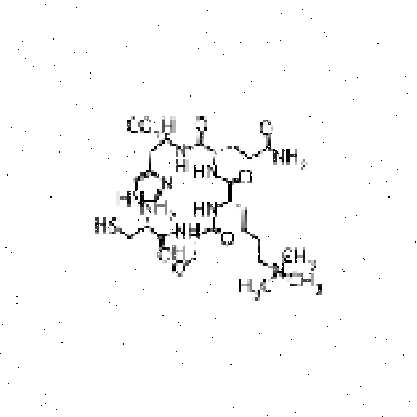 C[N+](C)(C)CCCC[C@H](NC(=O)[C@H](CO)NC(=O)[C@@H](N)CS)C(=O)N[C@@H](CCC(N)=O)C(=O)N[C@@H](Cc1c[nH]cn1)C(=O)O